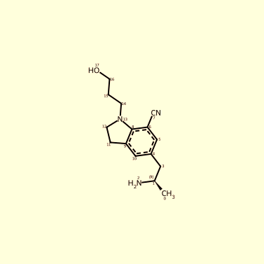 C[C@@H](N)Cc1cc(C#N)c2c(c1)CCN2CCCO